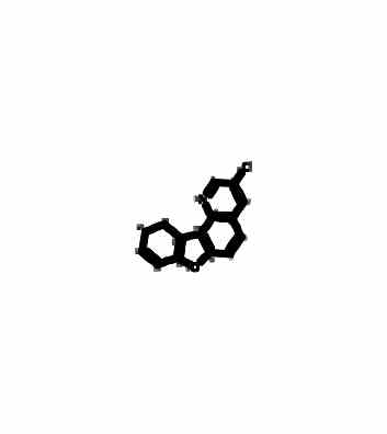 Clc1cnc2c(ccc3oc4c(c32)CCC=C4)c1